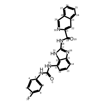 O=C(Nc1ccc(F)cc1)Nc1cccc2nc(NC(=O)c3cc4ccccc4cn3)[nH]c12